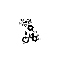 CC(C)(C)S(=O)(=O)c1ccc(Nc2nn(N3CCOCC[C@@H]3C#N)c3cc[nH]c(=O)c23)cc1